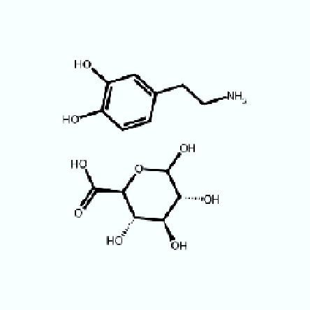 NCCc1ccc(O)c(O)c1.O=C(O)[C@H]1OC(O)[C@H](O)[C@@H](O)[C@@H]1O